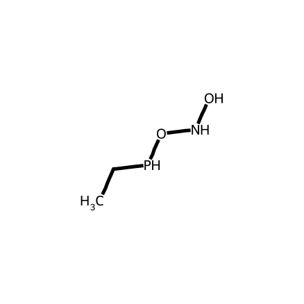 CCPONO